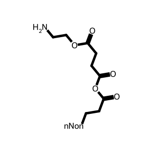 CCCCCCCCCCCC(=O)OC(=O)CCC(=O)OCCN